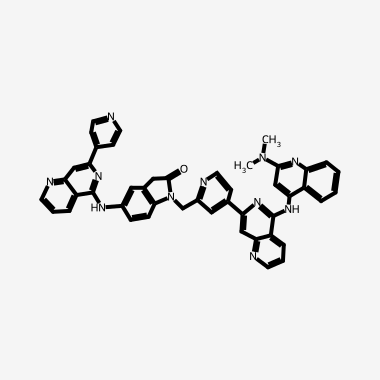 CN(C)c1cc(Nc2nc(-c3ccnc(CN4C(=O)Cc5cc(Nc6nc(-c7ccncc7)cc7ncccc67)ccc54)c3)cc3ncccc23)c2ccccc2n1